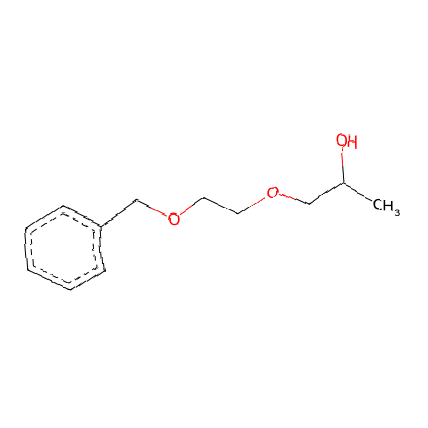 CC(O)COCCOCc1ccccc1